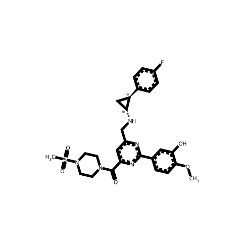 COc1ccc(-c2nc(CN[C@@H]3C[C@H]3c3ccc(F)cc3)cc(C(=O)N3CCN(S(C)(=O)=O)CC3)n2)cc1O